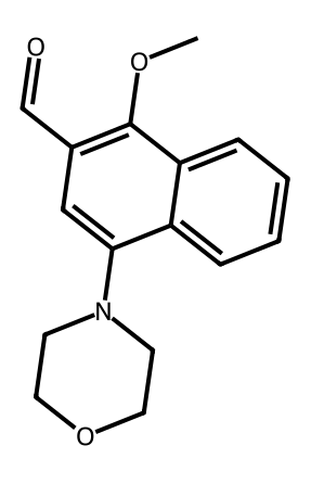 COc1c(C=O)cc(N2CCOCC2)c2ccccc12